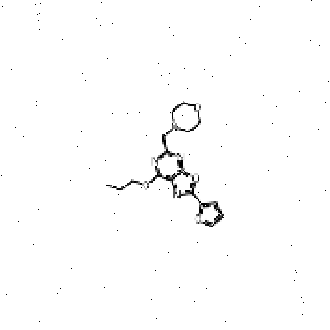 CCCOc1nc(CN2CCOCC2)nc2oc(-c3ccco3)nc12